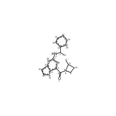 CC(Nc1nc(C(=O)N2CCC2C)c2sccc2n1)c1ccccn1